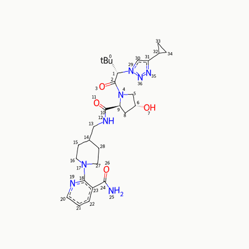 CC(C)(C)[C@@H](C(=O)N1C[C@H](O)C[C@H]1C(=O)NCC1CCN(c2ncccc2C(N)=O)CC1)n1cc(C2CC2)nn1